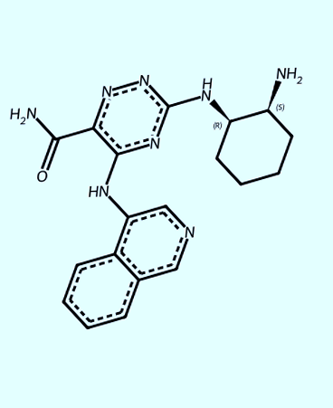 NC(=O)c1nnc(N[C@@H]2CCCC[C@@H]2N)nc1Nc1cncc2ccccc12